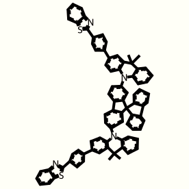 CC1(C)c2ccccc2N(c2ccc3c(c2)C2(c4ccccc4-c4ccccc42)c2cc(N4c5ccccc5C(C)(C)c5cc(-c6ccc(-c7nc8ccccc8s7)cc6)ccc54)ccc2-3)c2ccc(-c3ccc(-c4nc5ccccc5s4)cc3)cc21